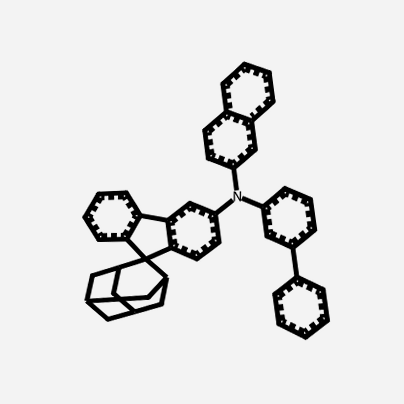 c1ccc(-c2cccc(N(c3ccc4c(c3)-c3ccccc3C43C4CC5CC(C4)CC3C5)c3ccc4ccccc4c3)c2)cc1